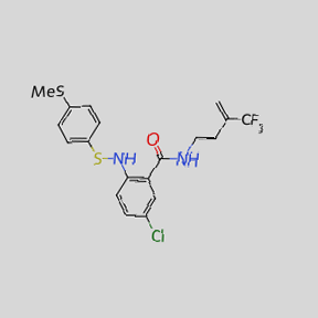 C=C(CCNC(=O)c1cc(Cl)ccc1NSc1ccc(SC)cc1)C(F)(F)F